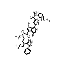 CCN(CCN(C)C(=O)C(=O)c1c[nH]c2c(-c3cc(C(=O)N(C)C4CCN(C)C4)[nH]n3)ncc(F)c12)c1nnnn1-c1ccccc1